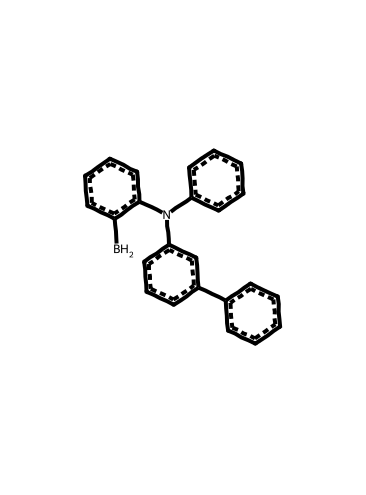 Bc1ccccc1N(c1ccccc1)c1cccc(-c2ccccc2)c1